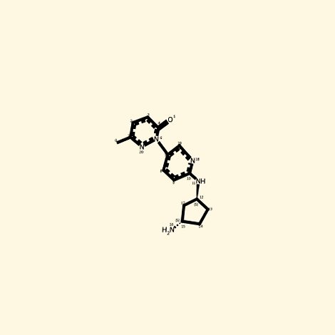 Cc1ccc(=O)n(-c2ccc(N[C@H]3CC[C@H](N)C3)nc2)n1